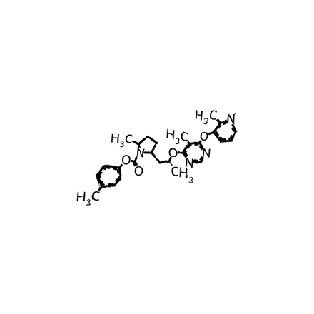 Cc1ccc(OC(=O)N2C(C)CCC2C[C@@H](C)Oc2ncnc(Oc3cccnc3C)c2C)cc1